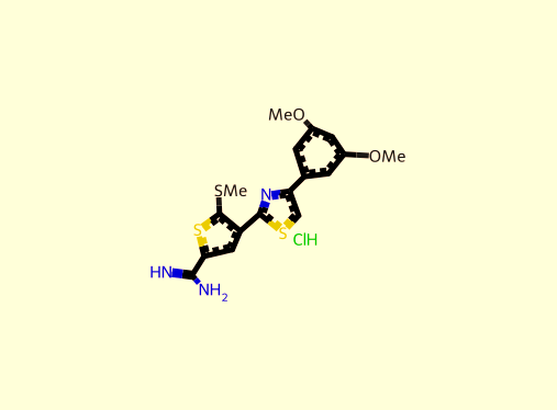 COc1cc(OC)cc(-c2csc(-c3cc(C(=N)N)sc3SC)n2)c1.Cl